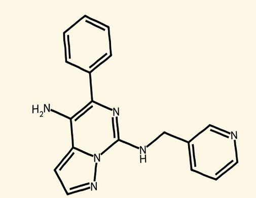 Nc1c(-c2ccccc2)nc(NCc2cccnc2)n2nccc12